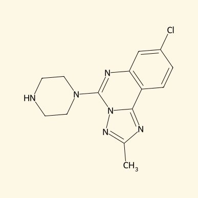 Cc1nc2c3ccc(Cl)cc3nc(N3CCNCC3)n2n1